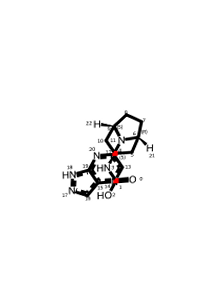 O=C(O)N[C@@H]1C[C@H]2CC[C@@H](C1)N2c1cnc2cn[nH]c2n1